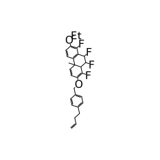 C=CCCc1ccc(COC2=C(F)C3C(F)C(F)c4c(ccc(OCC)c4F)C3(C)C=C2)cc1